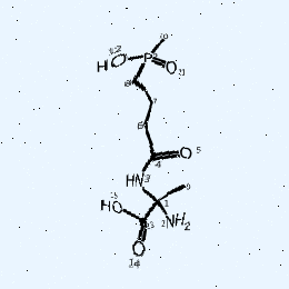 C[C@](N)(NC(=O)CCCP(C)(=O)O)C(=O)O